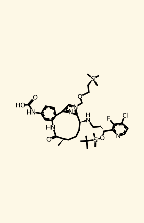 C[C@@H]1CCC[C@H](NCC[C@@H](O[Si](C)(C)C(C)(C)C)c2nccc(Cl)c2F)c2nc(cn2COCC[Si](C)(C)C)-c2ccc(NC(=O)O)cc2NC1=O